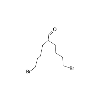 O=CC(CCCCBr)CCCCBr